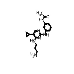 CC(=O)Nc1cccc(Nc2ncc(C3CC3)c(NCCCN)n2)c1